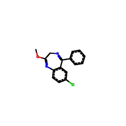 COC1=Nc2ccc(Cl)cc2C(c2ccccc2)=NC1